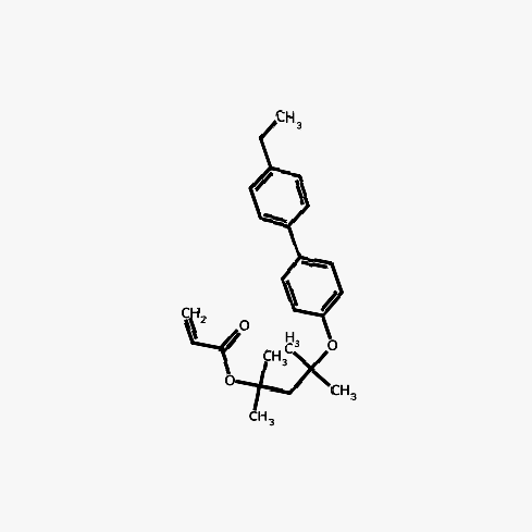 C=CC(=O)OC(C)(C)CC(C)(C)Oc1ccc(-c2ccc(CC)cc2)cc1